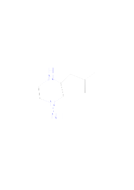 CC(C)CC1CN(N)CCN1